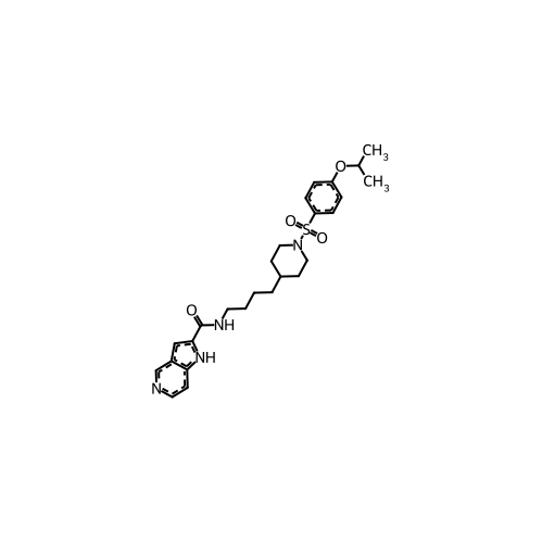 CC(C)Oc1ccc(S(=O)(=O)N2CCC(CCCCNC(=O)c3cc4cnccc4[nH]3)CC2)cc1